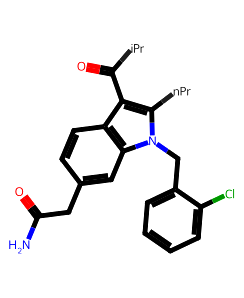 CCCc1c(C(=O)C(C)C)c2ccc(CC(N)=O)cc2n1Cc1ccccc1Cl